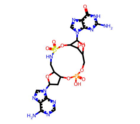 Nc1nc2c(ncn2C2OC3COP(=O)(O)OC4CC(n5cnc6c(N)ncnc65)OC4CNS(=O)(=O)OC2C3O)c(=O)[nH]1